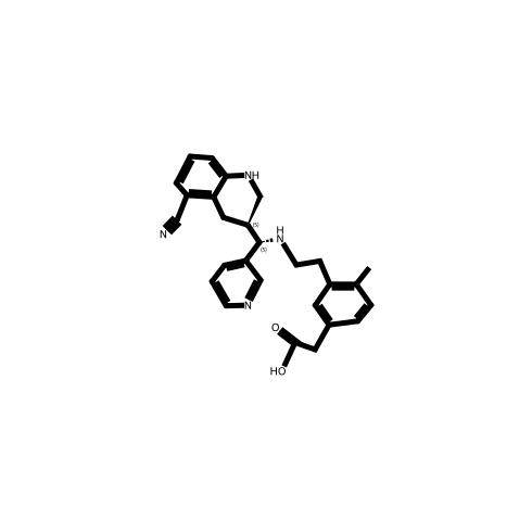 Cc1ccc(CC(=O)O)cc1CCN[C@H](c1cccnc1)[C@@H]1CNc2cccc(C#N)c2C1